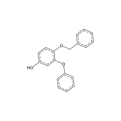 Oc1ccc(OCc2ccccc2)c(Oc2ccccc2)c1